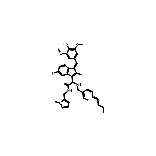 C\C=C(/C=C\C=C\CCC)CNC(C(=O)NCc1cccn1C)C1=C(C)/C(=C/c2cc(OC)c(O)c(OC)c2)c2ccc(F)cc21